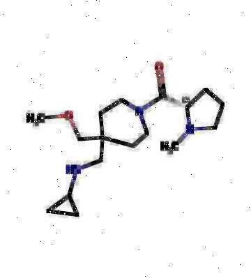 COCC1(CNC2CC2)CCN(C(=O)[C@@H]2CCCN2C)CC1